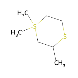 CC1CS(C)(C)CCS1